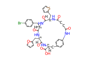 O=C1CCC(=O)N[C@H](Cc2cccs2)C(=O)N[C@@H](Cc2ccc(Br)cc2)C(=O)N[C@H](Cc2ccco2)C(=O)N[C@@H](C(=O)O)Cc2ccc(cc2)N1